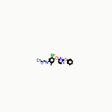 CCN(C)/C=N/c1cc(Br)c(Oc2ccnc(Sc3ccccc3)n2)cc1C